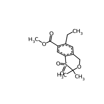 CCc1cc2c(cc1C(=O)OC)S(=O)(=O)C(C)(C)OC2